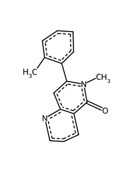 Cc1ccccc1-c1cc2ncccc2c(=O)n1C